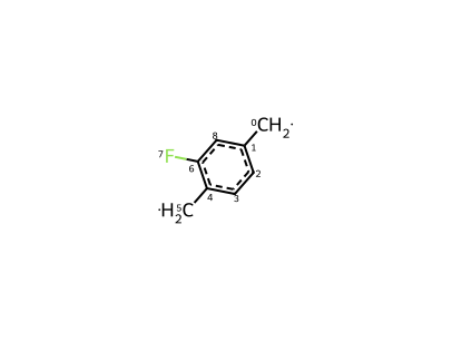 [CH2]c1ccc([CH2])c(F)c1